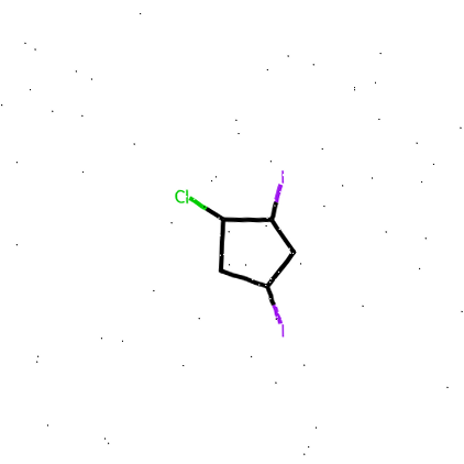 ClC1CC(I)CC1I